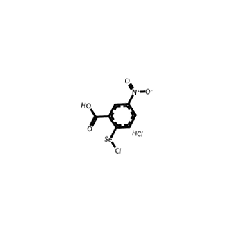 Cl.O=C(O)c1cc([N+](=O)[O-])ccc1[Se]Cl